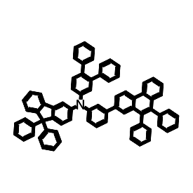 c1ccc(-c2ccc(N(c3cccc(-c4ccc5c(c4)c(-c4ccccc4)c(-c4ccccc4)c4ccccc45)c3)c3ccc4c(c3)-c3ccccc3C4(c3ccccc3)c3ccccc3)cc2-c2ccccc2)cc1